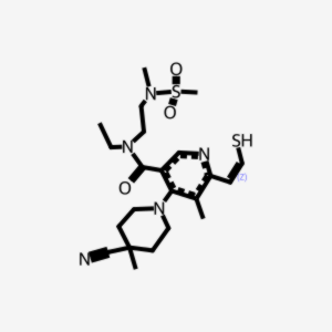 CCN(CCN(C)S(C)(=O)=O)C(=O)c1cnc(/C=C\S)c(C)c1N1CCC(C)(C#N)CC1